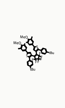 COc1c(C)cc(-c2cc(C3=C(c4cc(-c5cc(C)c(OC)c(C)c5)sc4-c4ccc(C(C)(C)C)cc4)C(F)(F)C(F)(F)C3(F)F)c(-c3ccc(C(C)(C)C)cc3)s2)cc1C